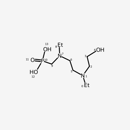 CCN(CCO)CCN(CC)CP(=O)(O)O